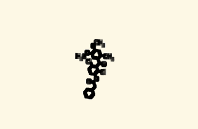 COc1cc(C)c(C(=O)c2c(Cl)ccc(OC(=O)Cc3ccccc3)c2Cl)cc1OC